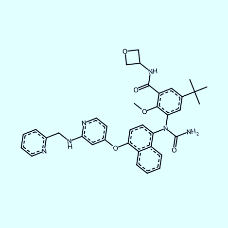 COc1c(C(=O)NC2COC2)cc(C(C)(C)C)cc1N(C(N)=O)c1ccc(Oc2ccnc(NCc3ccccn3)c2)c2ccccc12